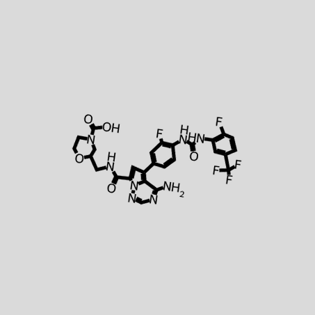 Nc1ncnn2c(C(=O)NCC3CN(C(=O)O)CCO3)cc(-c3ccc(NC(=O)Nc4cc(C(F)(F)F)ccc4F)c(F)c3)c12